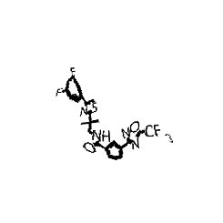 CC(C)(CNC(=O)c1cccc(-c2noc(C(F)(F)F)n2)c1)c1nc(-c2cc(F)cc(F)c2)cs1